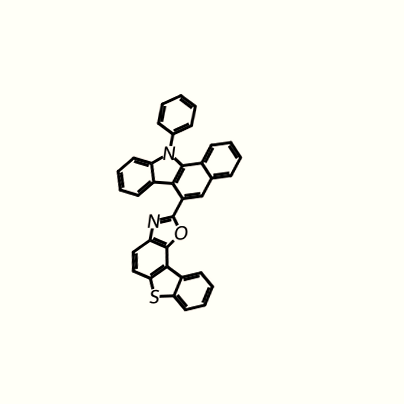 c1ccc(-n2c3ccccc3c3c(-c4nc5ccc6sc7ccccc7c6c5o4)cc4ccccc4c32)cc1